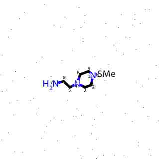 CSN1CCN(CCN)CC1